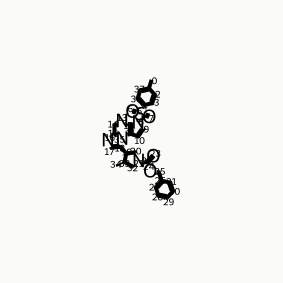 Cc1ccc(S(=O)(=O)n2ccc3c2ncc2ncc(C4CN(C(=O)OCc5ccccc5)C[C@H]4C)n23)cc1